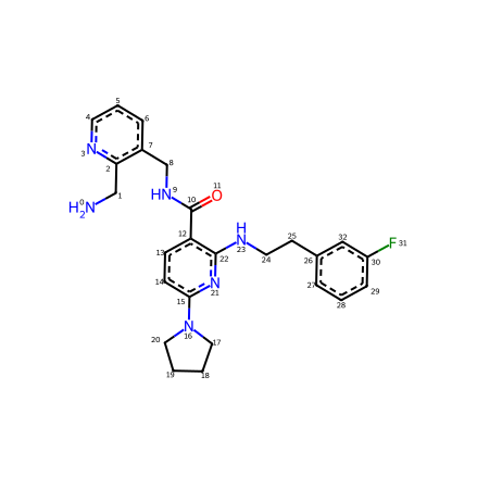 NCc1ncccc1CNC(=O)c1ccc(N2CCCC2)nc1NCCc1cccc(F)c1